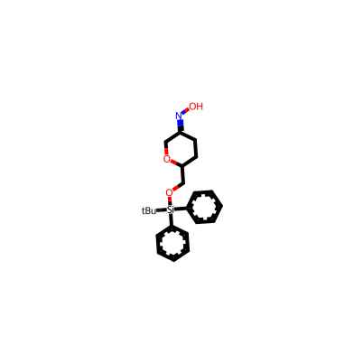 CC(C)(C)[Si](OCC1CC/C(=N\O)CO1)(c1ccccc1)c1ccccc1